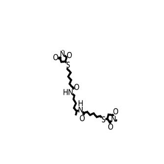 CC(CCCCNC(=O)CCCCCSC1CC(=O)N(C)C1=O)NC(=O)CCCCCSC1CC(=O)N(C)C1=O